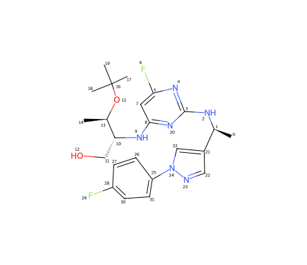 C[C@H](Nc1nc(F)cc(N[C@H](CO)[C@@H](C)OC(C)(C)C)n1)c1cnn(-c2ccc(F)cc2)c1